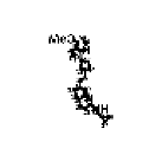 COc1ncnc2c1ccn2[C@H]1CC[C@@H](CCc2ccc3ccc(NCC4CC4)nc3c2)C1